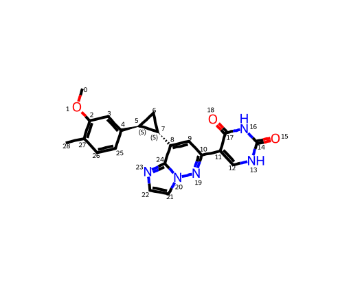 COc1cc([C@H]2C[C@@H]2c2cc(-c3c[nH]c(=O)[nH]c3=O)nn3ccnc23)ccc1C